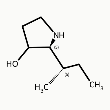 CC[C@H](C)[C@@H]1NCCC1O